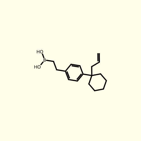 C=CCC1(c2ccc(CCB(O)O)cc2)CCCCC1